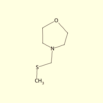 CSCN1CCOCC1